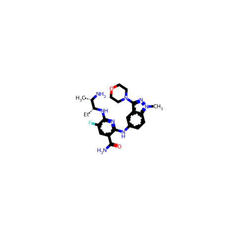 CC[C@@H](Nc1nc(Nc2ccc3c(c2)c(N2CCOCC2)nn3C)c(C(N)=O)cc1F)[C@H](C)N